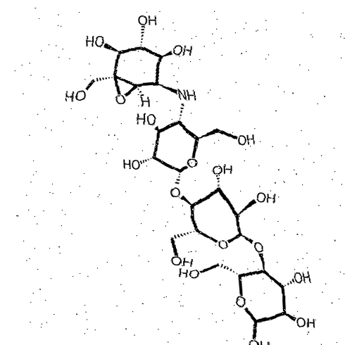 OC[C@H]1O[C@H](O[C@H]2[C@H](O)[C@@H](O)[C@@H](O[C@H]3[C@H](O)[C@@H](O)C(O)O[C@@H]3CO)O[C@@H]2CO)[C@H](O)[C@@H](O)[C@@H]1N[C@@H]1[C@H](O)[C@@H](O)[C@H](O)[C@]2(CO)O[C@H]12